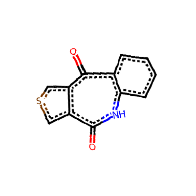 O=c1[nH]c2ccccc2c(=O)c2cscc12